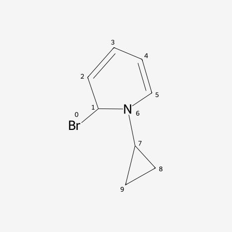 BrC1C=CC=CN1C1CC1